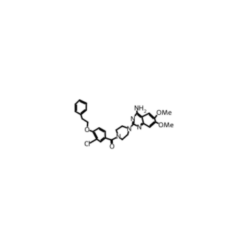 COc1cc2nc(N3CCN(C(=O)c4ccc(OCCc5ccccc5)c(Cl)c4)CC3)nc(N)c2cc1OC